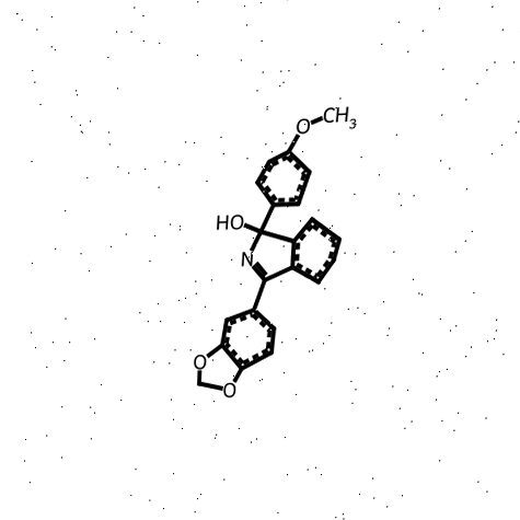 COc1ccc(C2(O)N=C(c3ccc4c(c3)OCO4)c3ccccc32)cc1